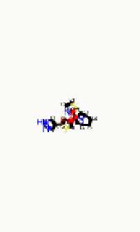 O=C(c1csc(-c2cn[nH]c2)c1)N1C2CCC1CC(O)(c1nccs1)C2